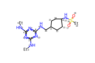 CCNc1nc(NCC)nc(NCC2CCC(NS(=O)(=O)CC)CC2)n1